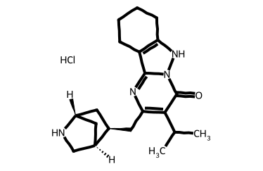 CC(C)c1c(C[C@@H]2C[C@@H]3C[C@@H]2CN3)nc2c3c([nH]n2c1=O)CCCC3.Cl